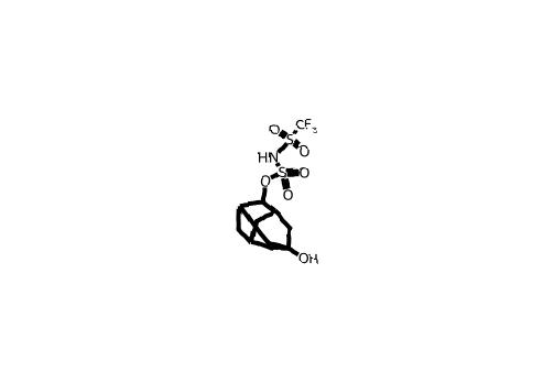 O=S(=O)(NS(=O)(=O)C(F)(F)F)OC1C2CC3CC1CC(O)(C3)C2